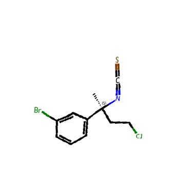 C[C@@](CCCl)(N=C=S)c1cccc(Br)c1